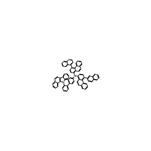 c1ccc(-n2c3ccccc3c3ccc4ccccc4c32)c(-c2ccc(N(c3ccc(-c4ccc5ccccc5c4)c4c3ccc3ccccc34)c3ccc(-c4cccc5ccccc45)c4c3ccc3ccccc34)cc2)c1